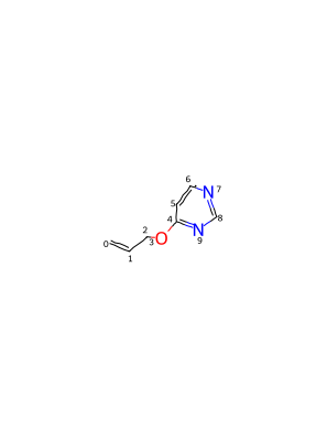 C=CCOc1c[c]ncn1